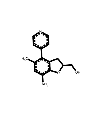 Cc1cc(N)c2c(c1-c1ccncc1)CC(CO)O2